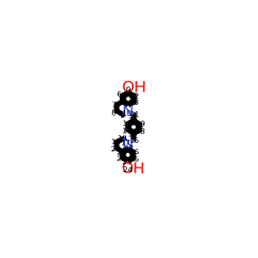 Oc1ccc2c(c1)CCCN2Cc1ccc(CN2CCCc3cc(O)ccc32)cc1